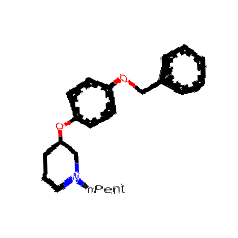 CCCCCN1CCCC(Oc2ccc(OCc3ccccc3)cc2)C1